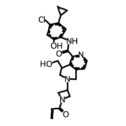 C=CC(=O)N1CC(N2Cc3ccnc(C(=O)Nc4cc(C5CC5)c(Cl)cc4O)c3C(CO)C2)C1